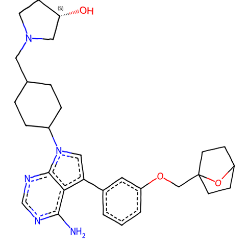 Nc1ncnc2c1c(-c1cccc(OCC34CCC(CC3)O4)c1)cn2C1CCC(CN2CC[C@H](O)C2)CC1